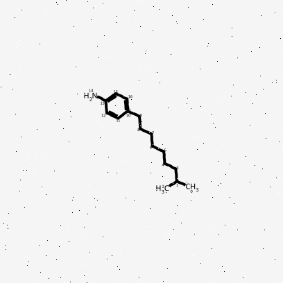 CC(C)CCCCCCCc1ccc(N)cc1